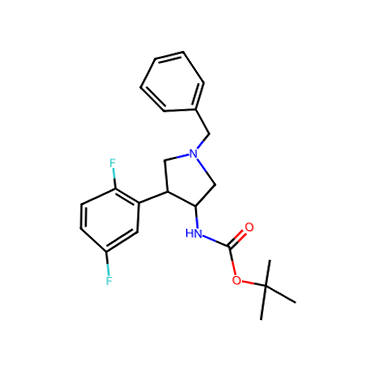 CC(C)(C)OC(=O)NC1CN(Cc2ccccc2)CC1c1cc(F)ccc1F